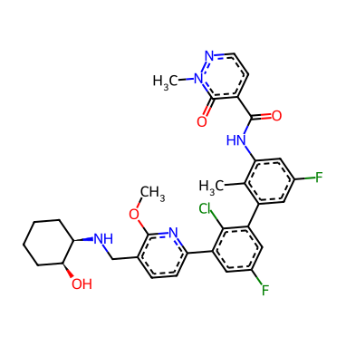 COc1nc(-c2cc(F)cc(-c3cc(F)cc(NC(=O)c4ccnn(C)c4=O)c3C)c2Cl)ccc1CN[C@@H]1CCCC[C@@H]1O